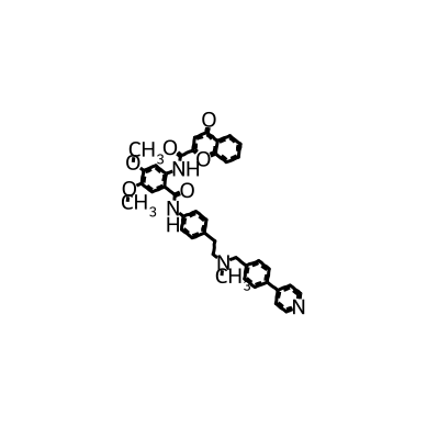 COc1cc(NC(=O)c2cc(=O)c3ccccc3o2)c(C(=O)Nc2ccc(CCN(C)Cc3ccc(-c4ccncc4)cc3)cc2)cc1OC